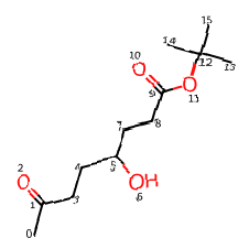 CC(=O)CCC(O)CCC(=O)OC(C)(C)C